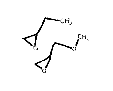 CCC1CO1.COCC1CO1